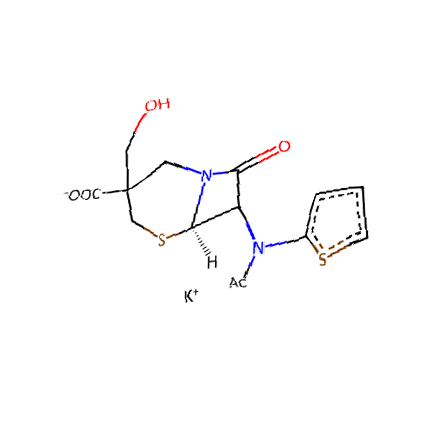 CC(=O)N(c1cccs1)C1C(=O)N2CC(CO)(C(=O)[O-])CS[C@H]12.[K+]